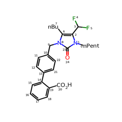 CCCCCn1c(C(F)F)c(CCCC)n(Cc2ccc(-c3ccccc3C(=O)O)cc2)c1=O